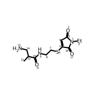 CCN1C(=O)C=C(SCCNC(=O)C(C)CN)C1=O